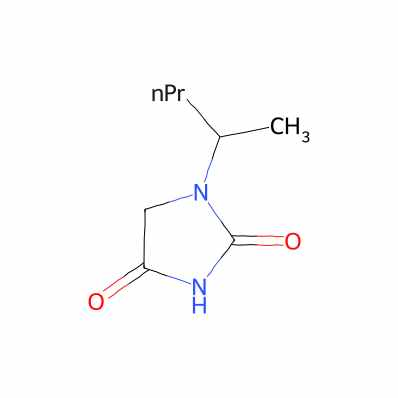 CCCC(C)N1CC(=O)NC1=O